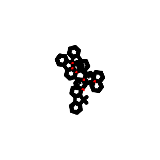 CC1(C)c2ccccc2-c2ccc(N(c3ccc4c(c3)C3(c5ccccc5-4)c4ccccc4-c4ccc(N(c5ccccc5)c5cccc6ccccc56)cc43)c3ccccc3-c3ccccc3)cc21